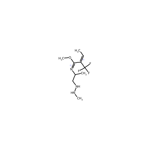 C/C=C(\C(=N/C(C)CNNC)OC)C(F)(F)F